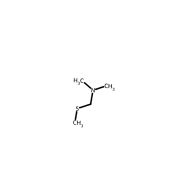 CSCN(C)C